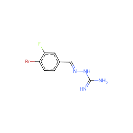 N=C(N)N/N=C/c1ccc(Br)c(F)c1